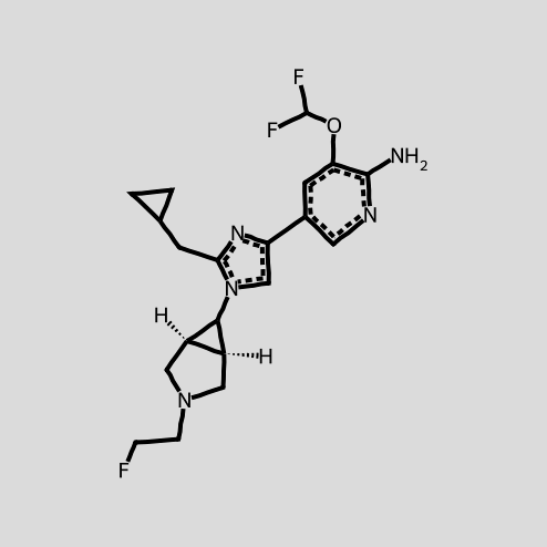 Nc1ncc(-c2cn(C3[C@H]4CN(CCF)C[C@@H]34)c(CC3CC3)n2)cc1OC(F)F